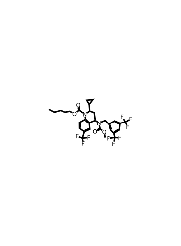 CCCCCOC(=O)N1c2ccc(C(F)(F)F)cc2C(N(Cc2cc(C(F)(F)F)cc(C(F)(F)F)c2)C(=O)OC)CC1C1CC1